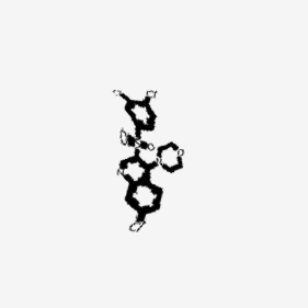 O=S(=O)(c1ccc(Cl)c(Cl)c1)c1cnc2cc(Cl)ccc2c1N1CCOCC1